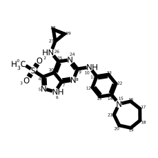 CS(=O)(=O)c1n[nH]c2nc(Nc3ccc(N4CCCCCC4)cc3)nc(NC3CC3)c12